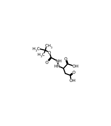 CC(C)(C)OC(=O)NNC(CC(=O)O)C(=O)O